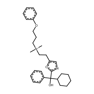 C[N+](C)(CCCOc1ccccc1)CCc1cnc(C(O)(c2ccccc2)C2CCCCC2)o1